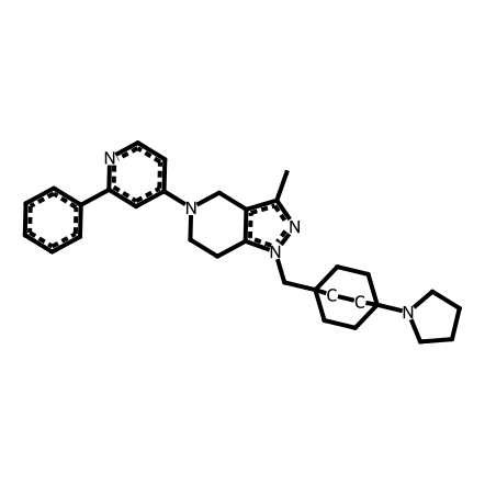 Cc1nn(CC23CCC(N4CCCC4)(CC2)CC3)c2c1CN(c1ccnc(-c3ccccc3)c1)CC2